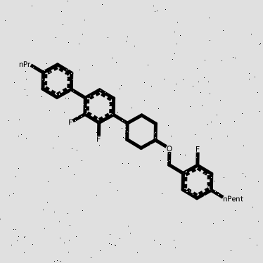 CCCCCc1ccc(COC2CCC(c3ccc(-c4ccc(CCC)cc4)c(F)c3F)CC2)c(F)c1